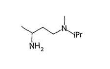 CC(N)CCN(C)C(C)C